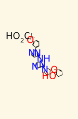 CC(C)(Oc1cccc(-c2nccc(Nc3cncc(N4CCCC(OC5=C(O)CCC=C5)C4)n3)n2)c1)C(=O)O